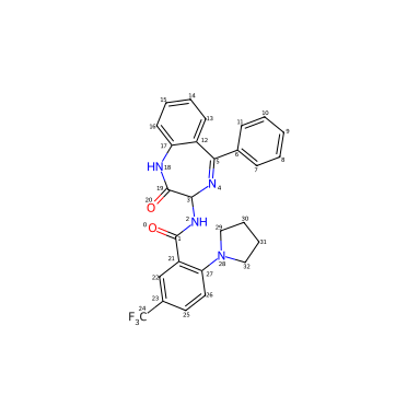 O=C(NC1N=C(c2ccccc2)c2ccccc2NC1=O)c1cc(C(F)(F)F)ccc1N1CCCC1